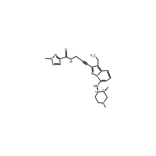 CN1CC[C@@H](Nc2cccc3c(CC(F)(F)F)c(C#CCNC(=O)c4cnn(C)n4)nn23)[C@@H](F)C1